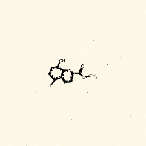 COC(=O)c1ccc2c(I)ccc(O)c2n1